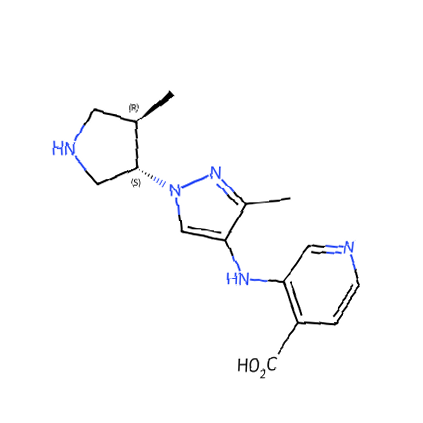 Cc1nn([C@@H]2CNC[C@H]2C)cc1Nc1cnccc1C(=O)O